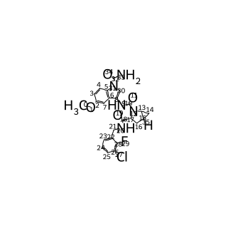 COc1ccc2c(c1)c(NC(=O)N1C3C[C@@H]3C[C@H]1C(=O)NCc1cccc(Cl)c1F)cn2C(N)=O